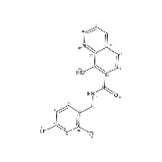 O=C(NCc1ccc(Cl)cc1Cl)c1ccc2cccnc2c1O